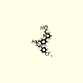 CC(=O)N1CCN(c2ccc(C(F)(F)F)cc2)c2ccc(-c3cccc(CCO)n3)cc2C1